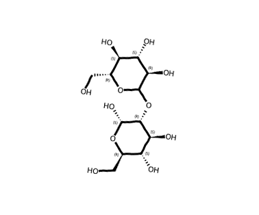 OC[C@H]1O[C@H](O)[C@H](OC2O[C@H](CO)[C@@H](O)[C@H](O)[C@H]2O)[C@@H](O)[C@@H]1O